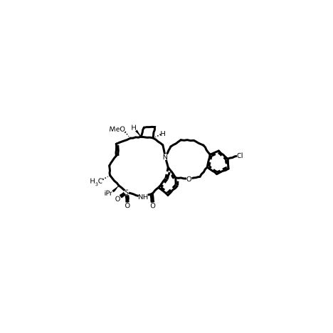 CO[C@H]1/C=C/C[C@@H](C)[C@H](C(C)C)S(=O)(=O)NC(=O)c2ccc3c(c2)N(CCCCc2cc(Cl)ccc2CO3)C[C@@H]2CC[C@H]21